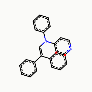 C(=C(c1ccccc1)c1ccccc1)N(c1ccccc1)c1ccncc1